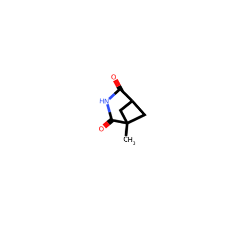 CC12CC(C1)C(=O)NC2=O